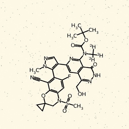 [2H]C([2H])([2H])N(C(=O)OC(C)(C)C)c1nc(-c2cnn(C)c2-c2c(F)cc3c(c2C#N)OC2(CC2)CN3S(C)(=O)=O)cc2c(CO)n[nH]c(=O)c12